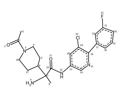 CC(=O)N1CCC(C(C)(N)C(=O)Nc2cnc(-c3cccc(F)c3)c(Cl)c2)CC1